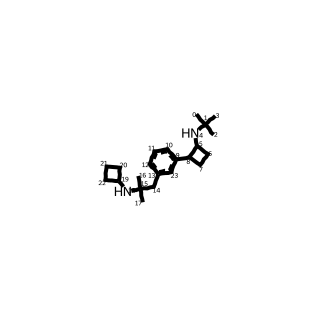 CC(C)(C)NC1CCC1c1cccc(CC(C)(C)NC2CCC2)c1